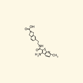 Cc1ccc2c(N)c(C(=O)NCCc3ccc4c(c3)C[C@H](C(=O)O)C4)sc2n1